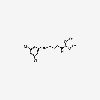 CCOC(OCC)PCCCNCc1cc(Cl)cc(Cl)c1